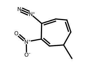 CC1C=CC=C([N+]#N)C([N+](=O)[O-])=C1